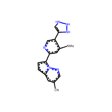 CNc1cc(-c2ccc3cc(C#N)cnn23)ncc1C1=CNNN1